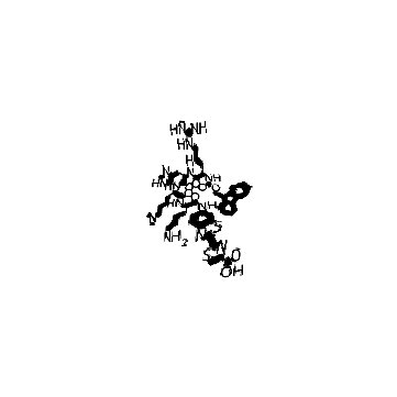 CNC(=N)NCCC[C@H](NC(=O)OCC1c2ccccc2-c2ccccc21)C(=O)N[C@@H](Cc1c[nH]cn1)C(=O)N[C@@H](CCCCN(C)C)C(=O)N[C@@H](CCCCN)C(=O)Nc1ccc2nc(C3=N[C@@H](C(=O)O)CS3)sc2c1